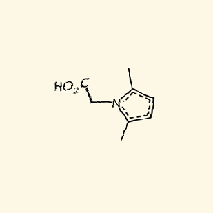 Cc1ccc(C)n1CC(=O)O